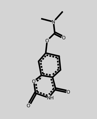 CN(C)C(=O)Oc1ccc2c(=O)[nH]c(=O)oc2c1